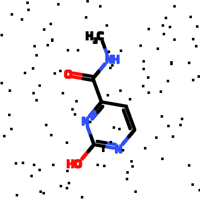 CNC(=O)c1ccnc(O)n1